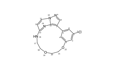 Clc1cc2cc(c1)-c1cnn3ccc(nc13)NCCOCCO2